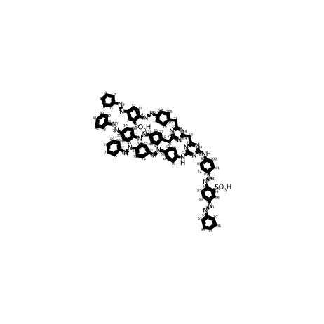 O=S(=O)(O)c1cc(N=Nc2ccccc2)ccc1N=Nc1ccc(Cc2nc(Cc3ccc(N=Nc4ccc(N=Nc5ccccc5)cc4)cc3)nc(Cc3nc(Nc4ccc(N=Nc5ccc(N=Nc6ccccc6)cc5)cc4)nc(Nc4ccc(N=Nc5ccc(N=Nc6ccccc6)cc5S(=O)(=O)O)cc4)n3)n2)cc1